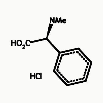 CN[C@H](C(=O)O)c1ccccc1.Cl